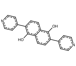 Oc1c(-c2ccncc2)ccc2c(O)c(-c3ccncc3)ccc12